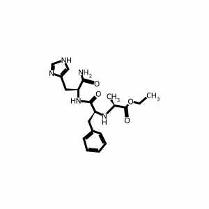 CCOC(=O)[C@H](C)N[C@@H](Cc1ccccc1)C(=O)N[C@@H](Cc1c[nH]cn1)C(N)=O